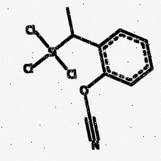 CC(c1ccccc1OC#N)[Si](Cl)(Cl)Cl